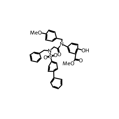 COC(=O)c1cc(N(Cc2ccc(OC)cc2)C(=O)CN(Cc2ccccc2)S(=O)(=O)c2ccc(-c3ccccc3)cc2)ccc1O